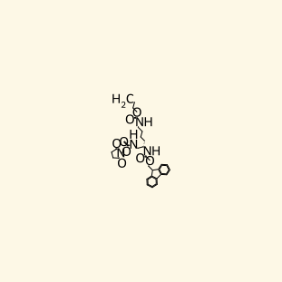 C=CCOC(=O)NCCCC[C@@H](CNC(=O)ON1C(=O)CCC1=O)NC(=O)OCC1c2ccccc2-c2ccccc21